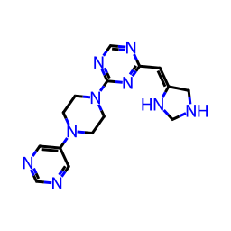 C(=C1CNCN1)c1ncnc(N2CCN(c3cncnc3)CC2)n1